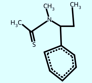 CCC(c1ccccc1)N(C)C(C)=S